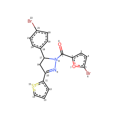 O=C(c1ccc(Br)o1)N1N=C(c2cccs2)CC1c1ccc(Br)cc1